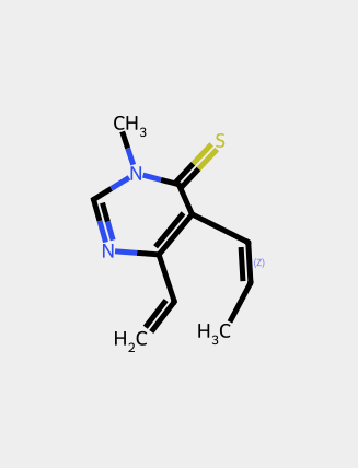 C=Cc1ncn(C)c(=S)c1/C=C\C